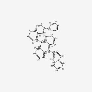 c1ccc(-c2ccc3cccc(-c4c5ccccc5c(-c5ccc6ccccc6c5)c5ccccc45)c3c2)cc1